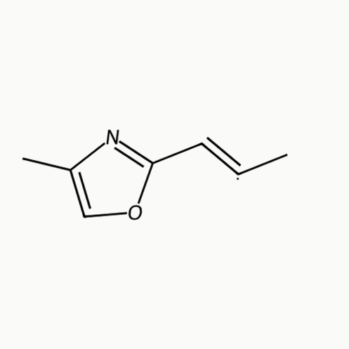 C/[C]=C/c1nc(C)co1